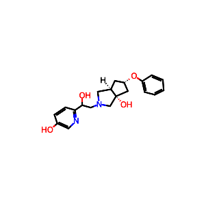 Oc1ccc(C(O)CN2C[C@H]3C[C@H](Oc4ccccc4)C[C@@]3(O)C2)nc1